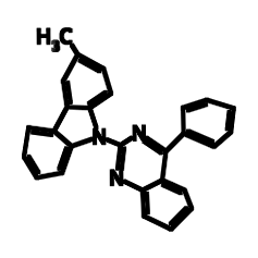 Cc1ccc2c(c1)c1ccccc1n2-c1nc(-c2ccccc2)c2ccccc2n1